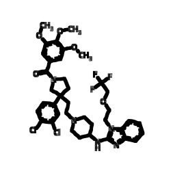 COc1cc(C(=O)N2CCC(CCN3CCC(Nc4nc5ccccc5n4CCOCC(F)(F)F)CC3)(c3ccc(Cl)c(Cl)c3)C2)cc(OC)c1OC